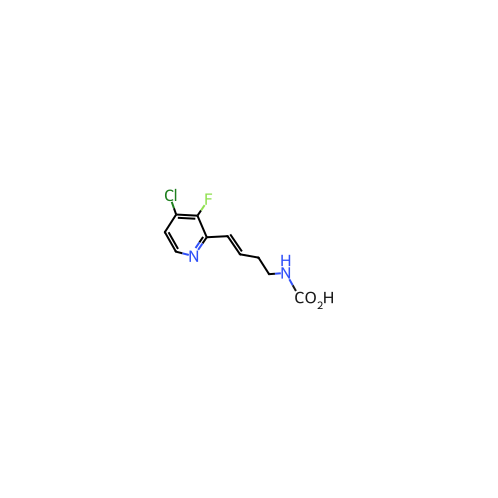 O=C(O)NCCC=Cc1nccc(Cl)c1F